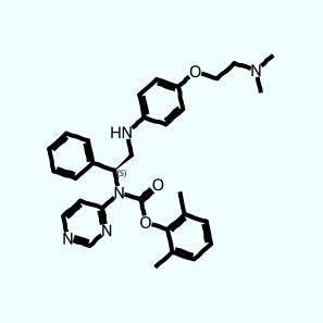 Cc1cccc(C)c1OC(=O)N(c1ccncn1)[C@H](CNc1ccc(OCCN(C)C)cc1)c1ccccc1